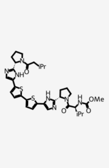 COC(=O)N[C@H](C(=O)N1CCC[C@H]1c1ncc(-c2ccc(-c3ccc(-c4cnc([C@@H]5CCCN5C(=O)CC(C)C)[nH]4)s3)s2)[nH]1)C(C)C